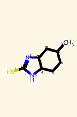 CC1CCC2NC(S)=NC2C1